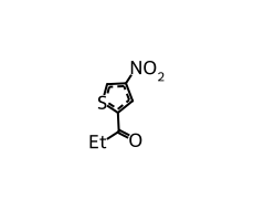 CCC(=O)c1cc([N+](=O)[O-])cs1